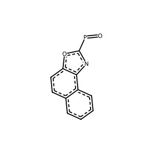 O=Pc1nc2c(ccc3ccccc32)o1